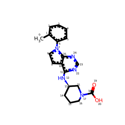 Cc1ccccc1-n1ccc2c(N[C@@H]3CCCN(C(=O)O)C3)ncnc21